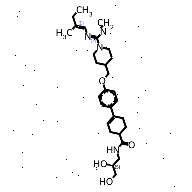 C=N/C(=N\C=C(/C)CC)N1CCC(COc2ccc(C3=CCC(C(=O)NC[C@H](O)CO)CC3)cc2)CC1